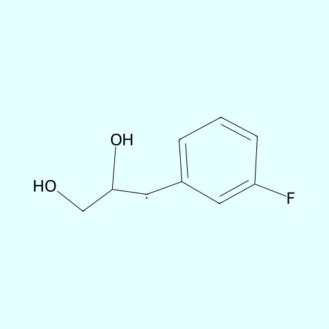 OCC(O)[CH]c1cccc(F)c1